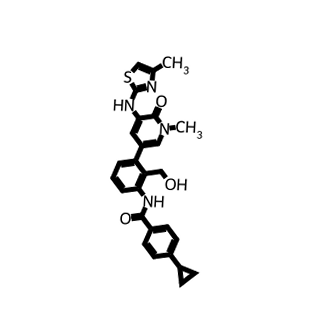 Cc1csc(Nc2cc(-c3cccc(NC(=O)c4ccc(C5CC5)cc4)c3CO)cn(C)c2=O)n1